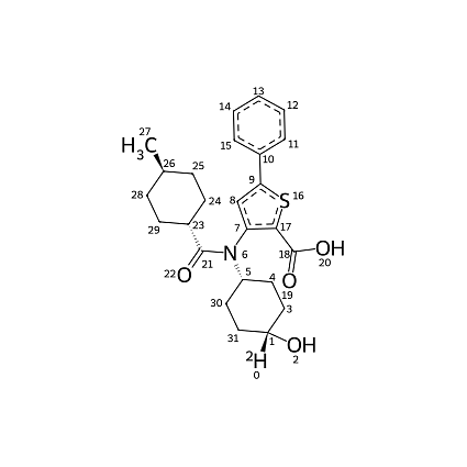 [2H][C@]1(O)CC[C@@H](N(c2cc(-c3ccccc3)sc2C(=O)O)C(=O)[C@H]2CC[C@H](C)CC2)CC1